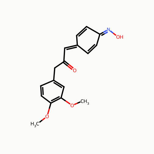 COc1ccc(CC(=O)C=C2C=CC(=NO)C=C2)cc1OC